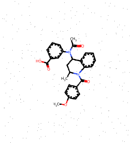 COc1ccc(C(=O)N2c3ccccc3C(N(C(C)=O)c3cccc(C(=O)O)c3)CC2C)cc1